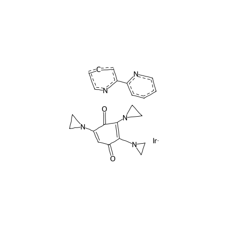 O=C1C=C(N2CC2)C(=O)C(N2CC2)=C1N1CC1.[Ir].c1ccc(-c2ccccn2)nc1